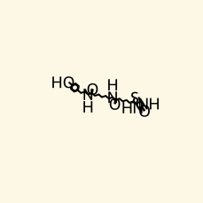 O=C(CCCCC1SCC2NC(=O)NC21)NCCCCCC(=O)NCCc1ccc(O)cc1